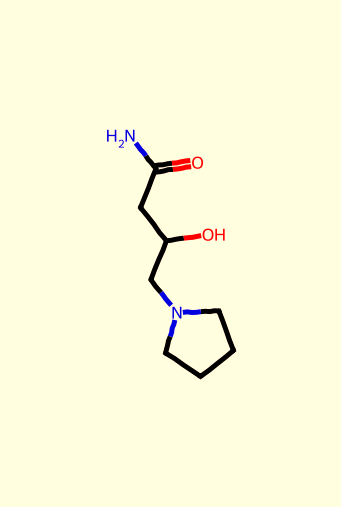 NC(=O)CC(O)CN1CCCC1